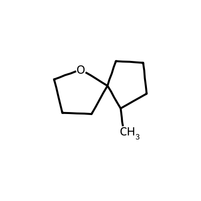 CC1CCCC12CCCO2